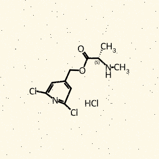 CN[C@@H](C)C(=O)OCc1cc(Cl)nc(Cl)c1.Cl